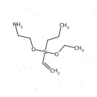 C=C[Si](CCC)(OCC)OCCN